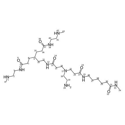 CNCCNC(=O)CCC(CCNC(=O)CCN(CCN)CCC(=O)NCCCCCC(=O)NC)CCC(=O)NCCNC